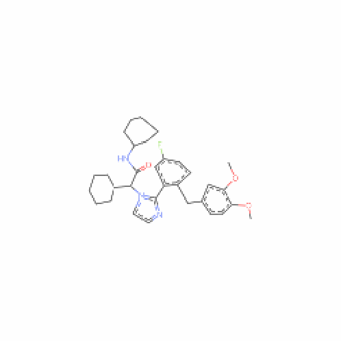 COc1ccc(Cc2ccc(F)cc2-c2nccn2C(C(=O)NC2CCCCC2)C2CCCCC2)cc1OC